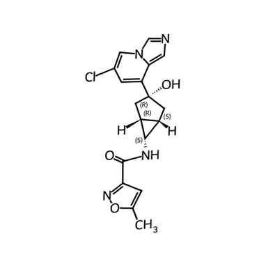 Cc1cc(C(=O)N[C@@H]2[C@@H]3C[C@@](O)(c4cc(Cl)cn5cncc45)C[C@@H]32)no1